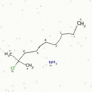 CCCCCCCC(C)(C)Cl.N